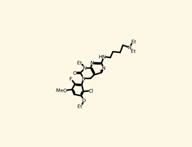 CCOc1cc(OC)c(F)c(N2Cc3cnc(NCCCCN(CC)CC)nc3N(CC)C2=O)c1Cl